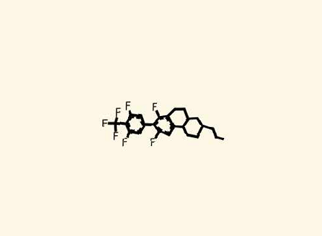 CCCC1CCC2c3cc(F)c(-c4cc(F)c(C(F)(F)F)c(F)c4)c(F)c3CCC2C1